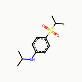 CC(C)Nc1ccc(S(=O)(=O)C(C)C)cc1